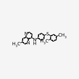 Cc1ccc(C)c(Sc2ccc(Nc3ccnc4cc(C)cnc34)cc2)c1